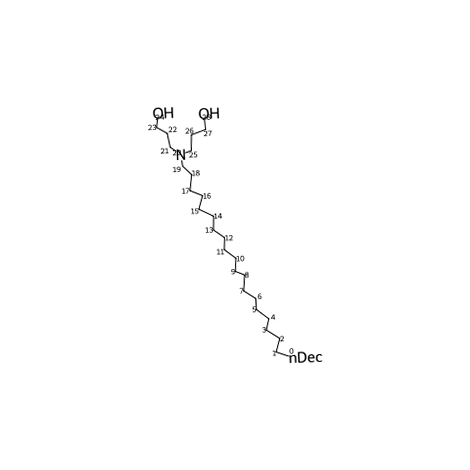 CCCCCCCCCCCCCCCCCCCCCCCCCCCCCN(CCCO)CCCO